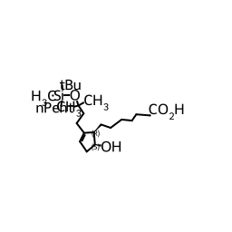 CCCCCC(C)(CCC1=CC[C@H](O)[C@@H]1CCCCCCC(=O)O)O[Si](C)(C)C(C)(C)C